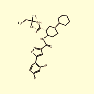 CC(C)(CC(F)(F)F)NC(=O)[C@@H]1CN(C2CCCCC2)CC[C@H]1NC(=O)c1cc(-c2ccc(F)cc2F)on1